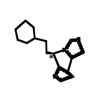 c1cc2c(s1)[C@@H](CCC1CCCCC1)n1cncc1-2